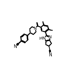 C=C(c1cc(-c2nc3c([nH]2)CC(C#N)C3)c(C)cc1C)N1CCC(c2ccc(C#N)cc2)CC1